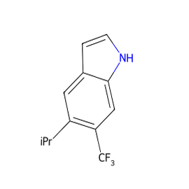 CC(C)c1cc2cc[nH]c2cc1C(F)(F)F